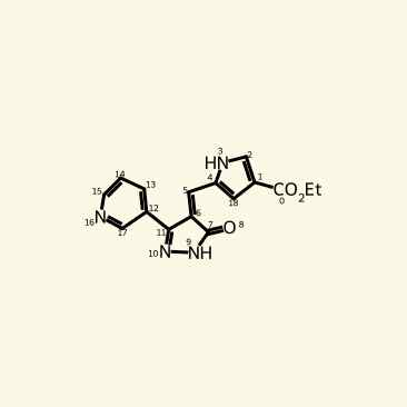 CCOC(=O)c1c[nH]c(C=C2C(=O)NN=C2c2cccnc2)c1